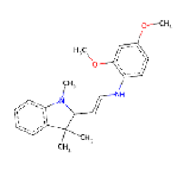 COc1ccc(NC=CC2N(C)c3ccccc3C2(C)C)c(OC)c1